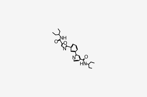 CCC(CC)NC(=O)c1ccnc(-c2cccc(-c3ncc(C(=O)NC(CC)CC)o3)c2)c1